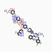 CC(C)c1ccccc1C1CN(Cc2ccc(F)c(F)c2)[C@@H](C)CN1C1CC2(CCN(c3ccc(C(=O)NS(=O)(=O)c4cnc(NC[C@H]5CC[C@](C)(O)CC5)c([NH+](C)[O-])c4)c(Oc4cnc5[nH]cc(F)c5c4)c3)CC2)C1